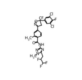 Cc1cc(C2=NOC(c3cc(Cl)c(F)c(Cl)c3)(C(F)(F)F)C2)ccc1C(=O)Nc1nc(CC(F)C(F)F)n(C)n1